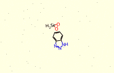 O1O[SiH2]1.c1ccc2[nH]nnc2c1